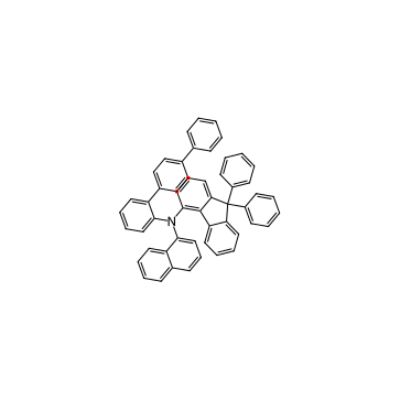 c1ccc(-c2ccc(-c3ccccc3N(c3cccc4c3-c3ccccc3C4(c3ccccc3)c3ccccc3)c3cccc4ccccc34)cc2)cc1